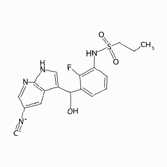 [C-]#[N+]c1cnc2[nH]cc(C(O)c3cccc(NS(=O)(=O)CCC)c3F)c2c1